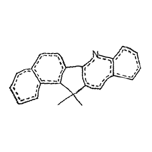 CC1(C)c2cc3ccccc3nc2-c2ccc3ccccc3c21